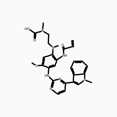 C=CC(=O)Nc1cc(Nc2nccc(-c3cn(C)c4ccccc34)n2)c(OC)cc1N(C)CCN(C)C(=O)O